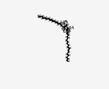 CCCCCCCCC=CCCCCCCCCOC(=O)NC(CO)C(=O)OCCCCCCCCCCCCCCCC